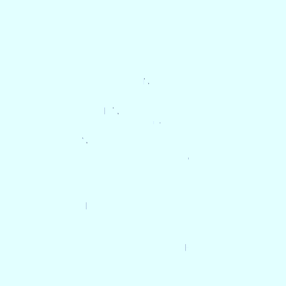 COc1cc(F)ccc1-c1cc(NC(=O)N2CCCCC2)ncc1F